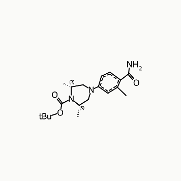 Cc1cc(N2C[C@@H](C)N(C(=O)OC(C)(C)C)[C@@H](C)C2)ccc1C(N)=O